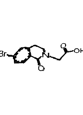 O=C(O)CN1CCc2cc(Br)ccc2C1=O